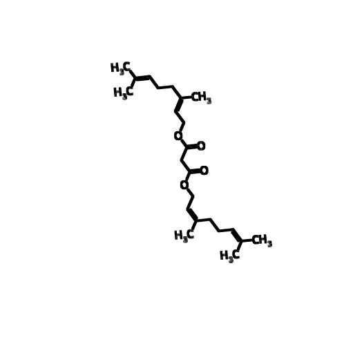 CC(C)=CCCC(C)=CCOC(=O)CC(=O)OCC=C(C)CCC=C(C)C